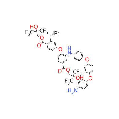 CC(C)Cc1cc(Oc2ccc(C(=O)OCC(O)(C(F)(F)F)C(F)(F)F)cc2Nc2ccc(Oc3ccc(Oc4ccc(N)cc4)cc3)cc2)ccc1C(=O)OCC(O)(C(F)(F)F)C(F)(F)F